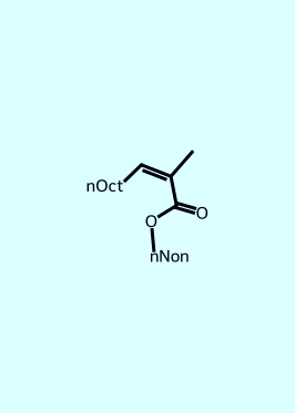 CCCCCCCCC=C(C)C(=O)OCCCCCCCCC